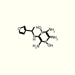 CC(NC1=C(N)N(O)C(N)=C(N)N1O)c1ccoc1